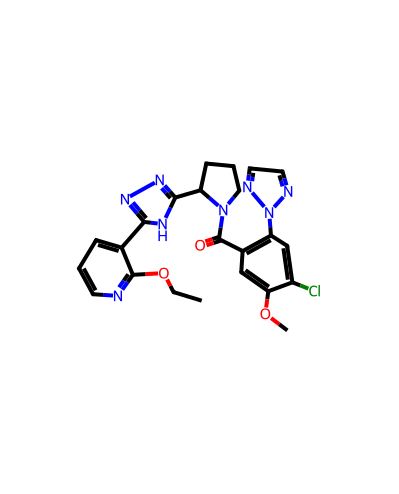 CCOc1ncccc1-c1nnc(C2CCCN2C(=O)c2cc(OC)c(Cl)cc2-n2nccn2)[nH]1